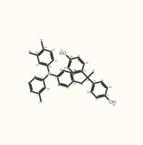 Cc1cccc(N(c2ccc(CC(C)(c3ccc(O)cc3)c3ccc(O)cc3)cc2)c2ccc(C)c(C)c2)c1